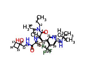 CCCN(C(=O)c1nc(C(=O)NCC2(O)CCC2)sc1-c1cnc(NC(C)(C)C)cc1C(F)(F)F)C(C)C